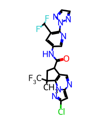 CC1(C(F)(F)F)CC(C(=O)Nc2cnc(-n3nccn3)c(C(F)F)c2)c2cnc3cc(Cl)nn3c21